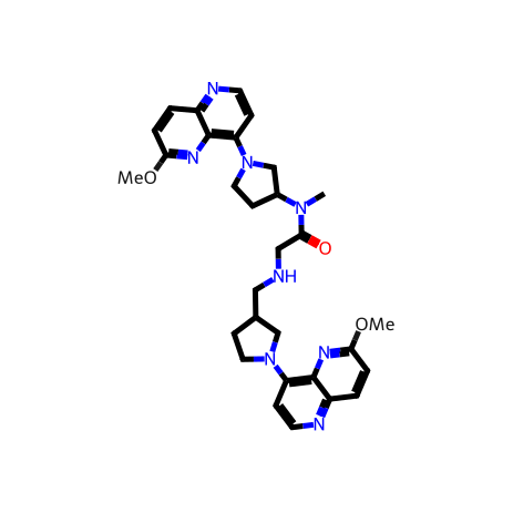 COc1ccc2nccc(N3CCC(CNCC(=O)N(C)C4CCN(c5ccnc6ccc(OC)nc56)C4)C3)c2n1